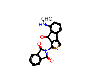 O=CNc1cccc2c1C(=O)c1c-2csc1N1C(=O)c2ccccc2C1=O